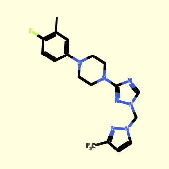 Cc1cc(N2CCN(c3ncn(Cn4ccc(C(F)(F)F)n4)n3)CC2)ccc1F